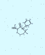 CNC1CCCC(C)(C)N(c2ccccc2)C1=O